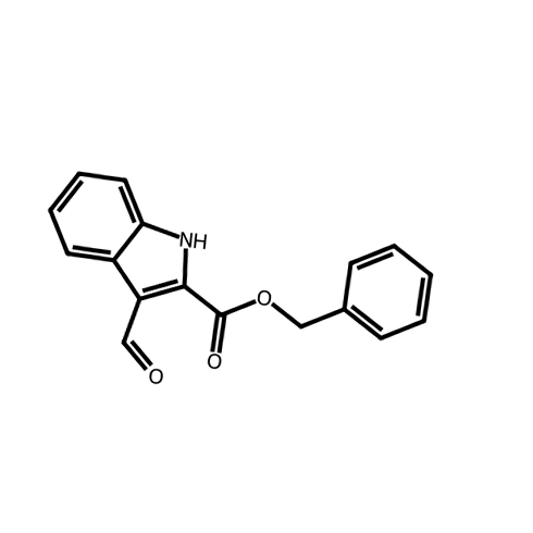 O=Cc1c(C(=O)OCc2ccccc2)[nH]c2ccccc12